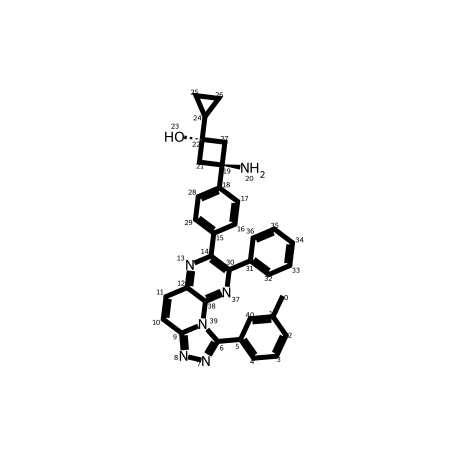 Cc1cccc(-c2nnc3ccc4nc(-c5ccc([C@]6(N)C[C@@](O)(C7CC7)C6)cc5)c(-c5ccccc5)nc4n23)c1